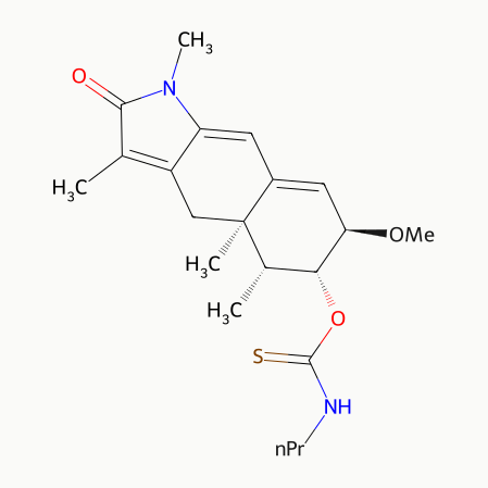 CCCNC(=S)O[C@H]1[C@H](OC)C=C2C=C3C(=C(C)C(=O)N3C)C[C@]2(C)[C@H]1C